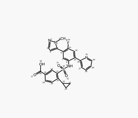 Cn1nccc1-c1cc(NS(=O)(=O)c2cc(C(=O)O)ccc2C2CC2)c(-c2ccccn2)cc1F